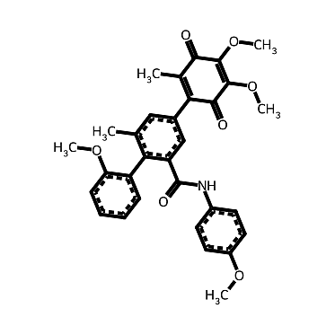 COC1=C(OC)C(=O)C(c2cc(C)c(-c3ccccc3OC)c(C(=O)Nc3ccc(OC)cc3)c2)=C(C)C1=O